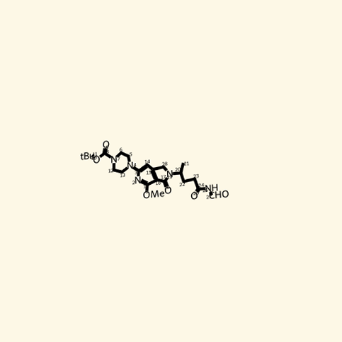 COc1nc(N2CCN(C(=O)OC(C)(C)C)CC2)cc2c1C(=O)N(C(C)CCC(=O)NC=O)C2